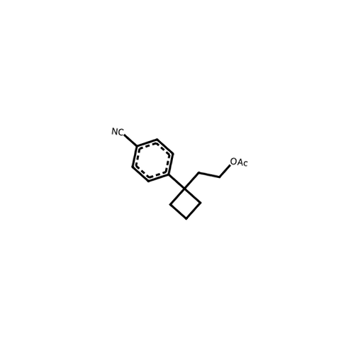 CC(=O)OCCC1(c2ccc(C#N)cc2)CCC1